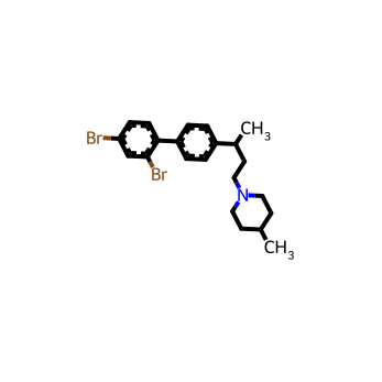 CC1CCN(CCC(C)c2ccc(-c3ccc(Br)cc3Br)cc2)CC1